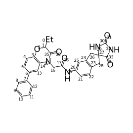 CCC1Oc2ccc(-c3ccccc3)cc2N(CC(=O)Nc2ccc3c(c2)CC2(C3)NC(=O)NC2=O)C1=O